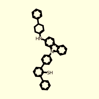 Sc1c(-c2ccccc2)cccc1-c1ccc(-n2c3ccccc3c3ccc(NC4=CCC(c5ccccc5)CC4)cc32)cc1